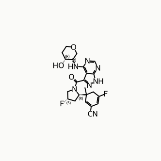 CC1([C@H]2C[C@H](F)CN2C(=O)c2n[nH]c3ncnc(N[C@@H]4COCC[C@H]4O)c23)C=C(C#N)C=C(F)C1